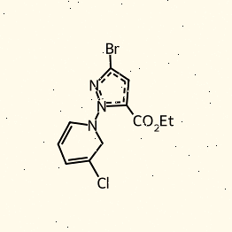 CCOC(=O)c1cc(Br)nn1N1C=CC=C(Cl)C1